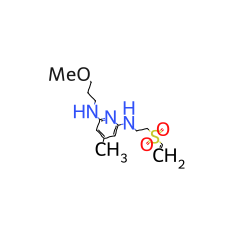 C=CS(=O)(=O)CCNc1cc(C)cc(NCCCOC)n1